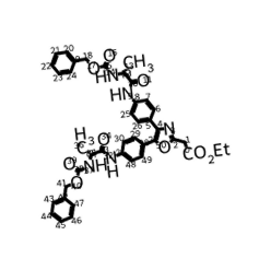 CCOC(=O)Cc1nc(-c2ccc(NC(=O)[C@H](C)NC(=O)OCc3ccccc3)cc2)c(-c2ccc(NC(=O)[C@@H](C)NC(=O)OCc3ccccc3)cc2)o1